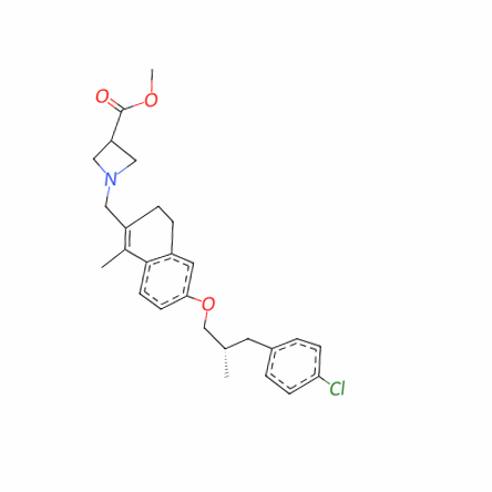 COC(=O)C1CN(CC2=C(C)c3ccc(OC[C@@H](C)Cc4ccc(Cl)cc4)cc3CC2)C1